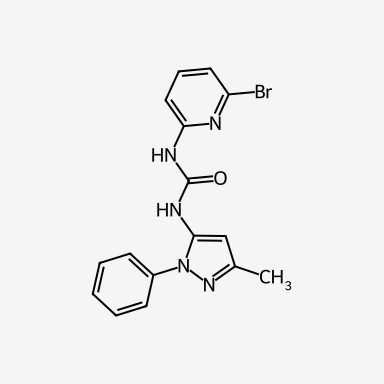 Cc1cc(NC(=O)Nc2cccc(Br)n2)n(-c2ccccc2)n1